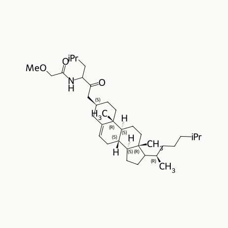 COCC(=O)NC(CC(C)C)C(=O)C[C@H]1CC[C@@]2(C)C(=CC[C@@H]3[C@@H]2CC[C@]2(C)C([C@H](C)CCCC(C)C)CC[C@@H]32)C1